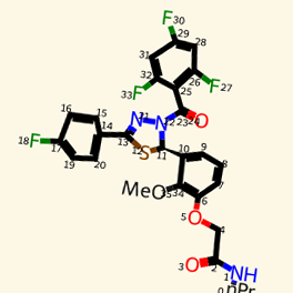 CCCNC(=O)COc1cccc([C@H]2SC(c3ccc(F)cc3)=NN2C(=O)c2c(F)cc(F)cc2F)c1OC